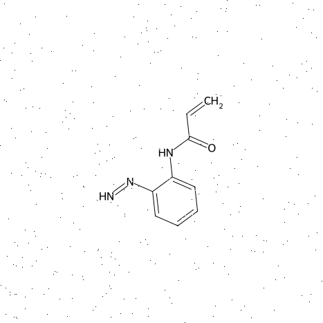 C=CC(=O)Nc1ccccc1N=N